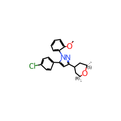 COc1ccccc1-n1nc(C2C[C@@H](C)O[C@@H](C)C2)cc1-c1ccc(Cl)cc1